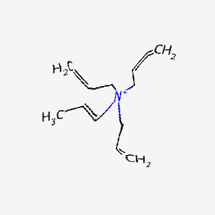 C=CC[N+](C=CC)(CC=C)CC=C